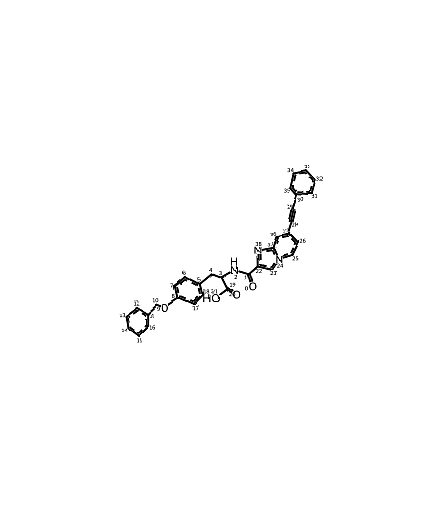 O=C(NC(Cc1ccc(OCc2ccccc2)cc1)C(=O)O)c1cn2ccc(C#Cc3ccccc3)cc2n1